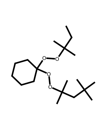 CCC(C)(C)OOC1(OOC(C)(C)CC(C)(C)C)CCCCC1